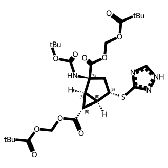 CC(C)(C)OC(=O)N[C@@]1(C(=O)OCOC(=O)C(C)(C)C)C[C@H](Sc2nc[nH]n2)[C@H]2[C@H](C(=O)OCOC(=O)C(C)(C)C)[C@H]21